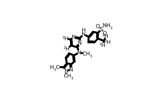 [2H]c1nc(Nc2ccc(C([2H])([2H])[2H])c(S(N)(=O)=O)c2)nc(N(C)c2ccc3c(C)n(C)nc3c2)c1[2H]